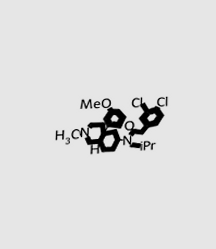 COc1cccc([C@@]23CCN(C)C[C@H]2CC[C@@H](N(CC(C)C)C(=O)Cc2ccc(Cl)c(Cl)c2)C3)c1